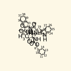 CC(C)C(NC(=O)OCc1ccccc1)C(=O)N[C@@H](Cc1c[nH]c2ccccc12)C(=O)N[C@@H](Cc1ccccc1)C(=O)[C@@]1(C)CO1